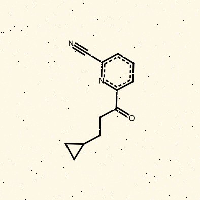 N#Cc1cccc(C(=O)CCC2CC2)n1